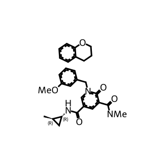 CNC(=O)c1cc(C(=O)N[C@@H]2C[C@H]2C)cn(Cc2cccc(OC)c2)c1=O.c1ccc2c(c1)CCCO2